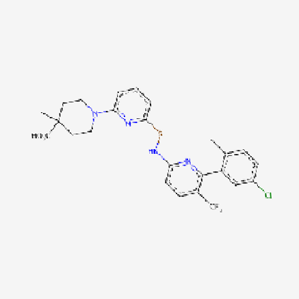 Cc1ccc(Cl)cc1-c1nc(NSc2cccc(N3CCC(C)(C(=O)O)CC3)n2)ccc1C(F)(F)F